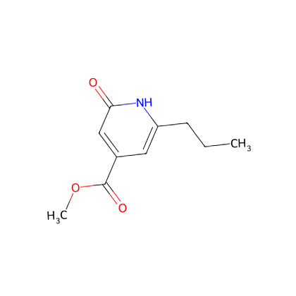 CCCc1cc(C(=O)OC)cc(=O)[nH]1